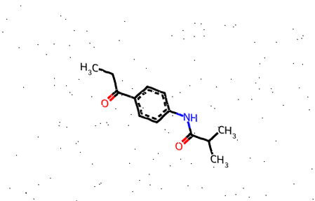 CCC(=O)c1ccc(NC(=O)C(C)C)cc1